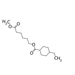 CCC1CCC(C(=O)OCCCCCC(=O)OC)CC1